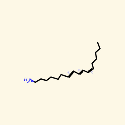 CCCCC\C=C/C=C/C=C/CCCCCCN